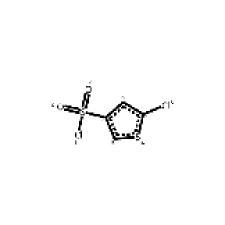 O=S(=O)(Cl)c1csc(Cl)c1